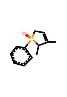 CC1=CCP(=O)(c2ccccc2)C1C